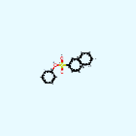 O=S(=O)(Oc1ccccc1)c1ccc2ccccc2c1